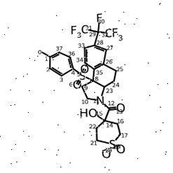 Cc1ccc(S(=O)(=O)C23CCN(C(=O)C4(O)CCS(=O)(=O)CC4)C2CCc2cc(C(F)(C(F)(F)F)C(F)(F)F)ccc23)cc1